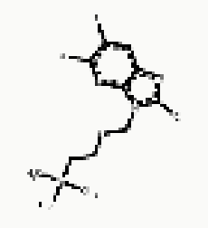 C[Si](C)(C)CCOCn1c(Cl)nc2cc(F)c(Br)nc21